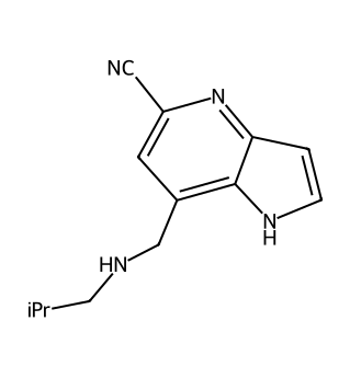 CC(C)CNCc1cc(C#N)nc2cc[nH]c12